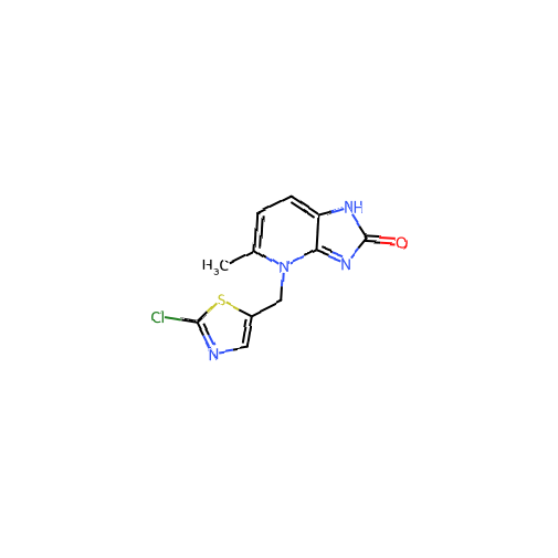 Cc1ccc2[nH]c(=O)nc-2n1Cc1cnc(Cl)s1